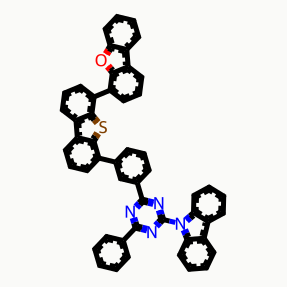 c1ccc(-c2nc(-c3cccc(-c4cccc5c4sc4c(-c6cccc7c6oc6ccccc67)cccc45)c3)nc(-n3c4ccccc4c4ccccc43)n2)cc1